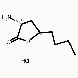 CCCC[C@@H]1C[C@@H](N)C(=O)O1.Cl